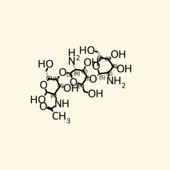 CC(=O)N[C@H]1C(O)O[C@H](CO)[C@@H](O[C@@H]2O[C@H](CO)[C@@H](O[C@@H]3O[C@H](CO)[C@@H](O)[C@H](O)[C@H]3N)[C@H](O)[C@H]2N)[C@@H]1O